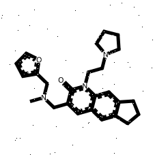 CN(Cc1ccco1)Cc1cc2cc3c(cc2n(CCN2CCCC2)c1=O)CCC3